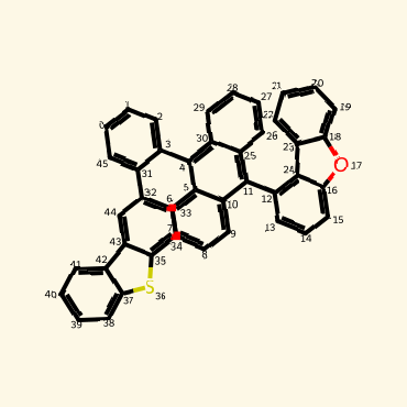 c1ccc(-c2c3ccccc3c(-c3cccc4oc5ccccc5c34)c3ccccc23)c(-c2ccc3sc4ccccc4c3c2)c1